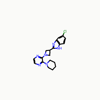 Clc1ccc2[nH]c(C3CN(c4nccnc4N4CCCCC4)C3)nc2c1